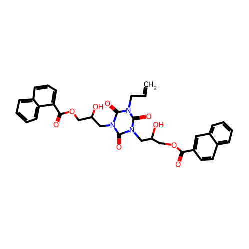 C=CCn1c(=O)n(CC(O)COC(=O)c2ccc3ccccc3c2)c(=O)n(CC(O)COC(=O)c2cccc3ccccc23)c1=O